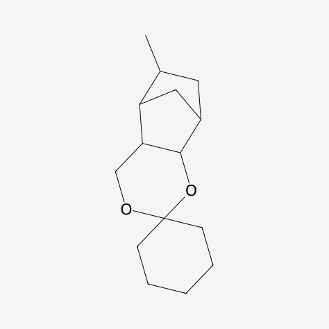 CC1CC2CC1C1COC3(CCCCC3)OC21